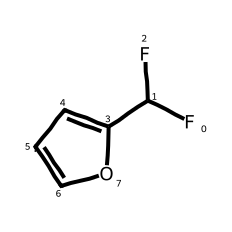 FC(F)c1c[c]co1